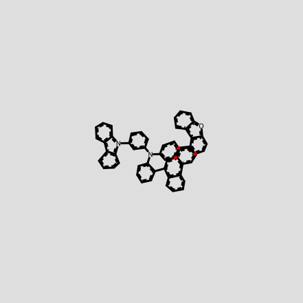 c1cc(N(c2ccc(-c3cccc4oc5ccccc5c34)cc2)c2ccccc2-c2cc3ccccc3c3ccccc23)cc(-n2c3ccccc3c3ccccc32)c1